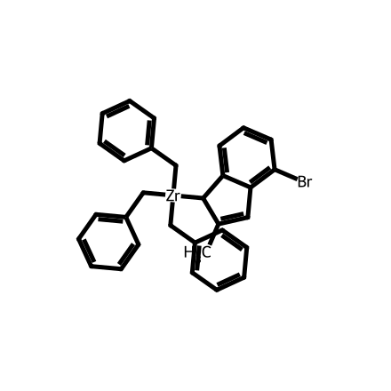 CC1=Cc2c(Br)cccc2[CH]1[Zr]([CH2]c1ccccc1)([CH2]c1ccccc1)[CH2]c1ccccc1